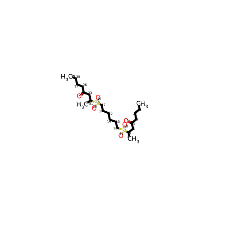 CCCCC(=O)CC(C)S(=O)(=O)CCCCCCS(=O)(=O)C(C)CC(=O)CCCC